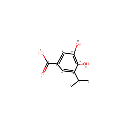 CC(C)c1cc(C(=O)O)cc(O)c1O